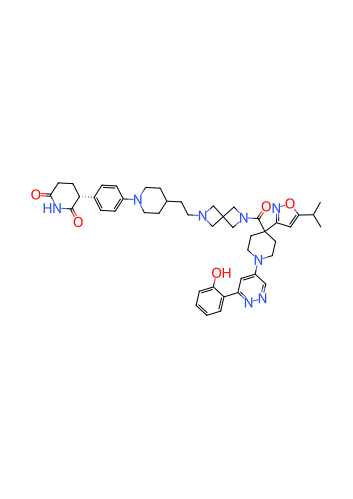 CC(C)c1cc(C2(C(=O)N3CC4(CN(CCC5CCN(c6ccc([C@H]7CCC(=O)NC7=O)cc6)CC5)C4)C3)CCN(c3cnnc(-c4ccccc4O)c3)CC2)no1